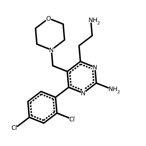 NCCc1nc(N)nc(-c2ccc(Cl)cc2Cl)c1CN1CCOCC1